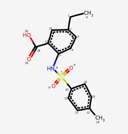 CCc1ccc(NS(=O)(=O)c2ccc(C)cc2)c(C(=O)O)c1